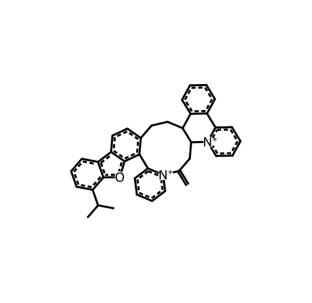 C=C1CC2C(CCc3ccc4c(oc5c(C(C)C)cccc54)c3-c3cccc[n+]31)c1ccccc1-c1cccc[n+]12